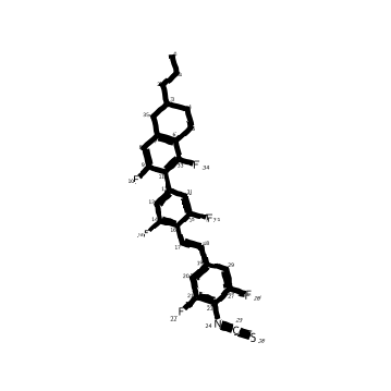 CCCC1CCc2c(cc(F)c(-c3cc(F)c(/C=C/c4cc(F)c(N=C=S)c(F)c4)c(F)c3)c2F)C1